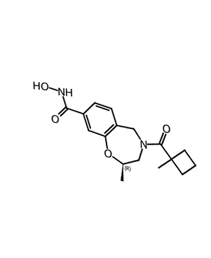 C[C@@H]1CN(C(=O)C2(C)CCC2)Cc2ccc(C(=O)NO)cc2O1